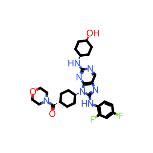 O=C([C@H]1CC[C@@H](n2c(Nc3ccc(F)cc3F)nc3cnc(N[C@H]4CC[C@H](O)CC4)nc32)CC1)N1CCOCC1